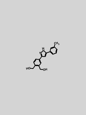 Cc1cccc(-c2cc(-c3ccc(CO)c(CO)c3)n[nH]2)c1